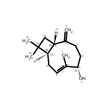 C=C1CC[C@H](O)/C(C)=C/C[C@@H]2[C@@H]1CC2(C)C